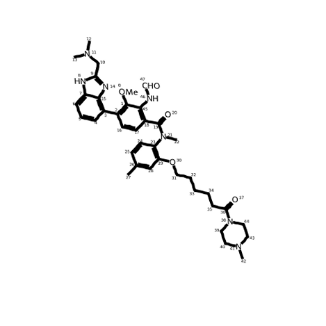 COc1c(-c2cccc3[nH]c(CN(C)C)nc23)ccc(C(=O)N(C)c2ccc(C)cc2OCCCCCC(=O)N2CCN(C)CC2)c1NC=O